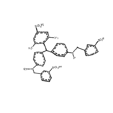 CCN(Cc1cccc(S(=O)(=O)O)c1)c1ccc(C(c2ccc(N(CC)Cc3cccc(S(=O)(=O)O)c3)cc2)c2c(C)cc(S(=O)(=O)O)cc2C)cc1